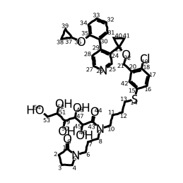 O=C1CCCN1CCCN(CCCCSc1ccc(Cl)c(COC2(c3cnccc3-c3ccccc3OC3CC3)CC2)c1)C(=O)C(O)C(O)C(O)C(O)CO